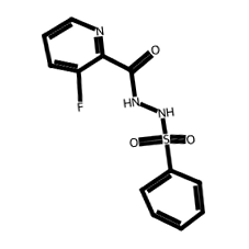 O=C(NNS(=O)(=O)c1ccccc1)c1ncccc1F